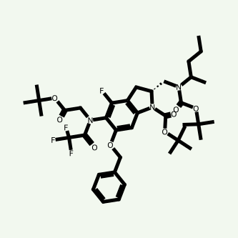 CCCC(C)N(C[C@H]1Cc2c(cc(OCc3ccccc3)c(N(CC(=O)OC(C)(C)C)C(=O)C(F)(F)F)c2F)N1C(=O)OC(C)(C)C)C(=O)OC(C)(C)C